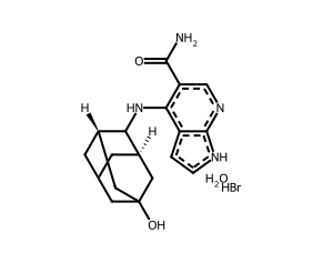 Br.NC(=O)c1cnc2[nH]ccc2c1NC1[C@@H]2CC3C[C@H]1CC(O)(C3)C2.O